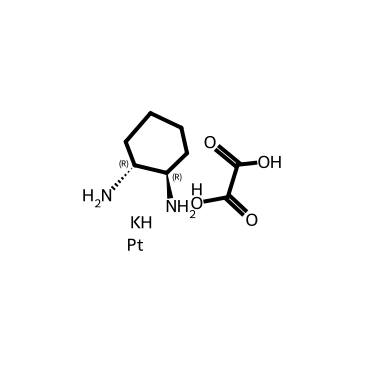 N[C@@H]1CCCC[C@H]1N.O=C(O)C(=O)O.[KH].[Pt]